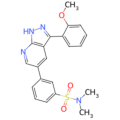 COc1ccccc1-c1n[nH]c2ncc(-c3cccc(S(=O)(=O)N(C)C)c3)cc12